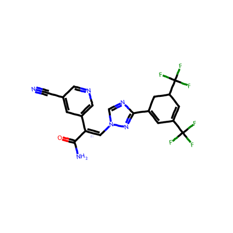 N#Cc1cncc(/C(=C\n2cnc(C3=CC(C(F)(F)F)=CC(C(F)(F)F)C3)n2)C(N)=O)c1